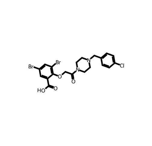 O=C(O)c1cc(Br)cc(Br)c1OCC(=O)N1CCN(Cc2ccc(Cl)cc2)CC1